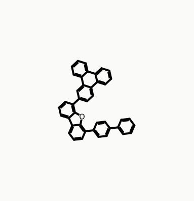 c1ccc(-c2ccc(-c3cccc4c3oc3c(-c5ccc6c7ccccc7c7ccccc7c6c5)cccc34)cc2)cc1